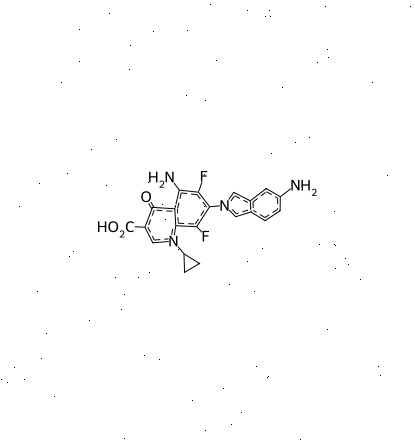 Nc1ccc2cn(-c3c(F)c(N)c4c(=O)c(C(=O)O)cn(C5CC5)c4c3F)cc2c1